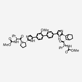 COC(=O)N[C@H](C(=O)N1CCC[C@H]1c1ncc(-c2ccc(-c3ccc(-c4cnc([C@H]5C6CCC(C6)[C@@H]5C(=O)N(NC(=O)OC)C(C)C)[nH]4)cc3)c(OC)c2)[nH]1)C(C)C